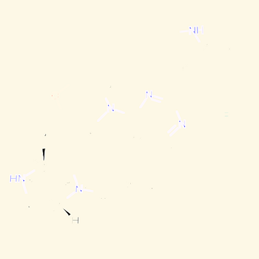 Fc1ccc2[nH]ccc2c1-c1nc(N2CCOCC2)c2cc(CN3C[C@@H]4C[C@H]3CN4)ccc2n1